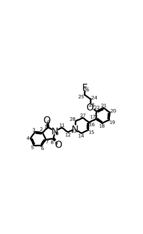 O=C1c2ccccc2C(=O)N1CCN1CC=C(c2ccccc2OCCF)CC1